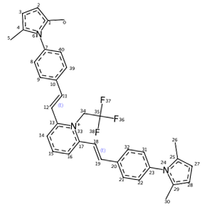 Cc1ccc(C)n1-c1ccc(/C=C/c2cccc(/C=C/c3ccc(-n4c(C)ccc4C)cc3)[n+]2CC(F)(F)F)cc1